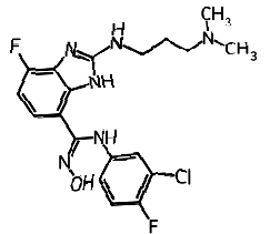 CN(C)CCCNc1nc2c(F)ccc(/C(=N/O)Nc3ccc(F)c(Cl)c3)c2[nH]1